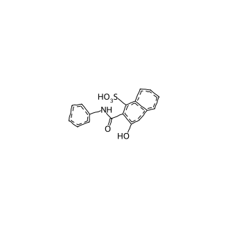 O=C(Nc1ccccc1)c1c(O)cc2ccccc2c1S(=O)(=O)O